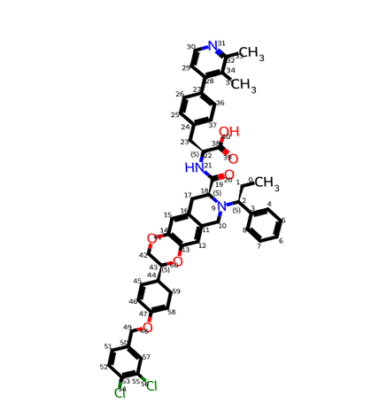 CC[C@@H](c1ccccc1)N1Cc2cc3c(cc2C[C@H]1C(=O)N[C@@H](Cc1ccc(-c2ccnc(C)c2C)cc1)C(=O)O)OC[C@H](C1C=CC(OCc2ccc(Cl)c(Cl)c2)=CC1)O3